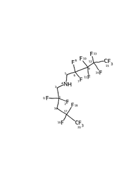 FC(F)(CNCC(F)(F)C(F)(F)C(F)(F)C(F)(F)F)CC(F)(F)C(F)(F)F